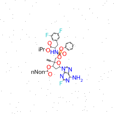 C#CC1(CO[P@@](=O)(NC(Cc2cc(F)cc(F)c2)C(=O)OC(C)C)Oc2ccccc2)OC(n2cnc3c(N)nc(F)nc32)CC1OC(=O)CCCCCCCCC